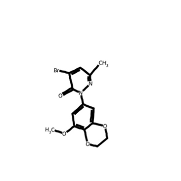 COc1cc(-n2nc(C)cc(Br)c2=O)cc2c1OCCO2